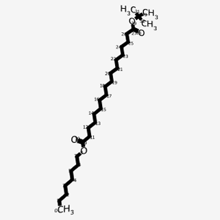 CCCCCCCCOC(=O)CCCCCCCCCCCCCCCCC(=O)OC(C)(C)C